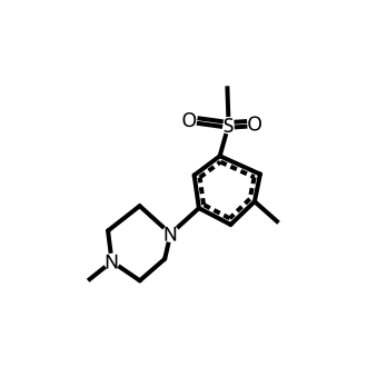 Cc1cc(N2CCN(C)CC2)cc(S(C)(=O)=O)c1